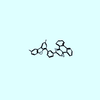 Cc1ccc2oc3c(-c4cccc(-c5cnc6c7ccccc7c7ccccc7c6n5)c4)cc(C)cc3c2c1